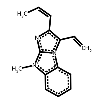 C=Cc1c(/C=C\C)nc2n(C)c3ccccc3n12